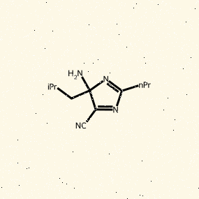 CCCC1=NC(N)(CC(C)C)C(C#N)=N1